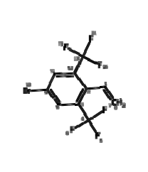 C=Cc1c(C(F)(F)F)cc(Br)cc1C(F)(F)F